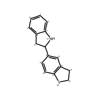 c1ccc2c(c1)CC(c1ccc3c(c1)CCS3)N2